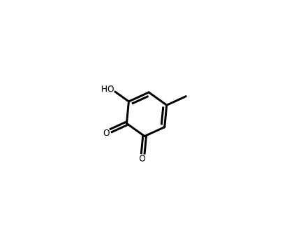 CC1=CC(=O)C(=O)C(O)=C1